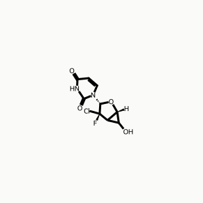 O=c1ccn([C@@H]2O[C@@H]3C(O)C3[C@]2(F)Cl)c(=O)[nH]1